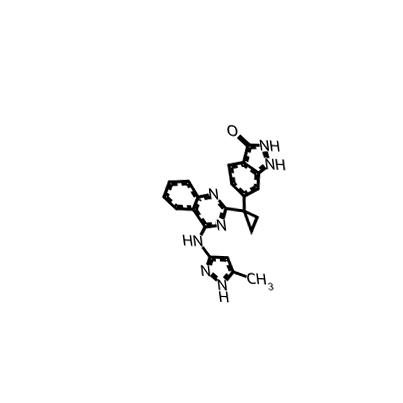 Cc1cc(Nc2nc(C3(c4ccc5c(=O)[nH][nH]c5c4)CC3)nc3ccccc23)n[nH]1